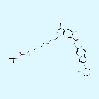 Cc1nn(CCCCCCCCNC(=O)OC(C)(C)C)c2cc(C(=O)Nc3cn4cc([C@H]5CCCN5C)nc4cn3)c(F)cc12